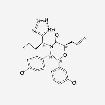 C=CC[C@H]1O[C@H](c2cccc(Cl)c2)[C@H](c2ccc(Cl)cc2)N([C@@H](CCC)c2nnn[nH]2)C1=O